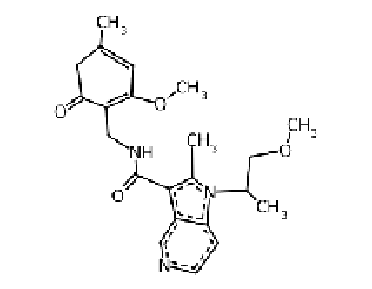 COCC(C)n1c(C)c(C(=O)NCC2=C(OC)C=C(C)CC2=O)c2cnccc21